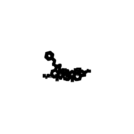 CC(=O)CC[C@@]1(C)C(=O)CC[C@H]2[C@@H]3CC[C@]4(O[C@@H]5C[C@H](C)CN(C(=O)OCc6ccccc6)[C@H]5[C@H]4C)[C@]4(C)C[C@]34C[C@@H]21